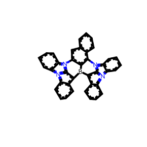 c1ccc2c3c4c(cc2c1)-n1c2ccccc2n2c5ccccc5c(c12)B4c1c2ccccc2n2c4ccccc4n-3c12